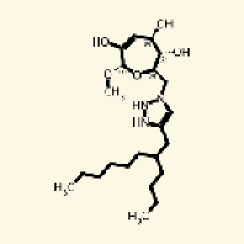 CCCCCCC(CCCC)CC1=CN(C[C@H]2O[C@H](OC)C(O)=C[C@@H](O)[C@@H]2O)NN1